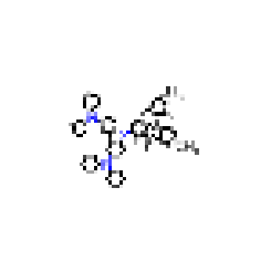 Cc1cc(C)c2c(c1)Cc1cc(C)cc3c1B2c1c(C)cc(-n2c4ccc(N(c5ccccc5)c5ccccc5)cc4c4cc(N(c5ccccc5)c5ccccc5)ccc42)cc1C3